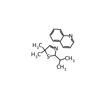 CC(C)C1N=CC(C)(C)S1.c1ccc2ncccc2c1